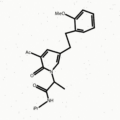 COc1ccccc1CCc1cc(C(C)=O)c(=O)n(C(C)C(=O)NC(C)C)c1